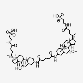 C[C@H](CCC(=O)NCCS(=O)(=O)O)[C@H]1CC[C@@H]2C3[C@@H](CC[C@@]21C)[C@@]1(C)CCC(NC(=O)CCCC(=O)NC2CC[C@@]4(C)C(C2)C[C@H](O)C2[C@H]5CC[C@H]([C@H](C)CCC(=O)NCCS(=O)(=O)O)[C@@]5(C)CC[C@H]24)CC1C[C@@H]3O